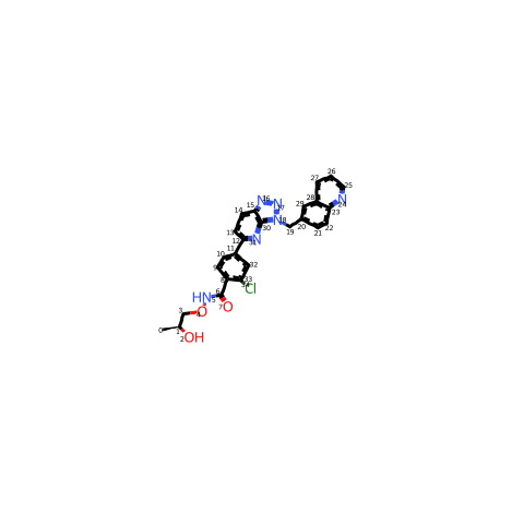 C[C@H](O)CONC(=O)c1ccc(-c2ccc3nnn(Cc4ccc5ncccc5c4)c3n2)cc1Cl